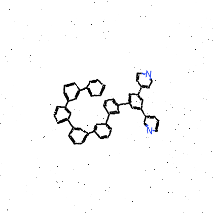 c1ccc(-c2cccc(-c3cccc(-c4cccc(-c5cccc(-c6cccc(-c7cc(-c8ccncc8)cc(-c8cccnc8)c7)c6)c5)c4)c3)c2)cc1